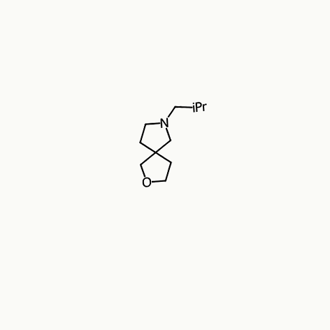 CC(C)CN1CCC2(CCOC2)C1